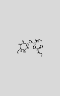 C=CC(=O)OC(CCC)Oc1ccc(C)cc1